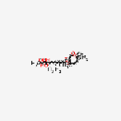 CC(=C\C=C\C(C)=C\[C@H](O)[C@@H](O)C[C@H](C)O)/C=C(C)/C=C/C(=O)O[C@H]1CCCC(=O)OC(C(C)C)CCCC[C@@H]1C